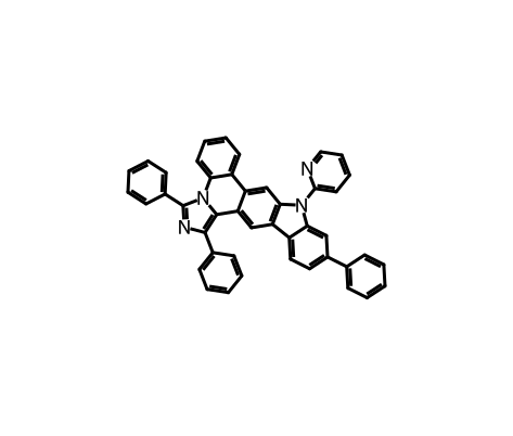 c1ccc(-c2ccc3c4cc5c(cc4n(-c4ccccn4)c3c2)c2ccccc2n2c(-c3ccccc3)nc(-c3ccccc3)c52)cc1